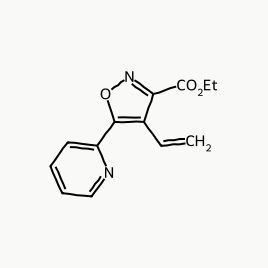 C=Cc1c(C(=O)OCC)noc1-c1ccccn1